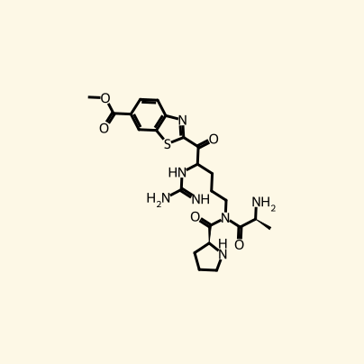 COC(=O)c1ccc2nc(C(=O)C(CCCN(C(=O)[C@H](C)N)C(=O)[C@@H]3CCCN3)NC(=N)N)sc2c1